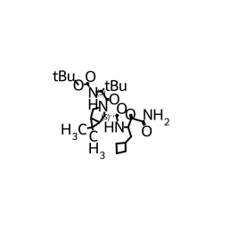 CC(C)(C)OC(=O)N[C@H](C(=O)N1CC2C([C@H]1C(=O)NC(CC1CCC1)C(=O)C(N)=O)C2(C)C)C(C)(C)C